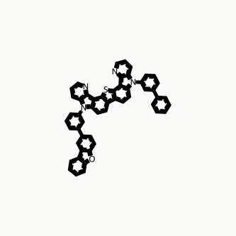 c1ccc(-c2cccc(-n3c4cccnc4c4c5sc6c(ccc7c6c6ncccc6n7-c6cccc(-c7ccc8oc9ccccc9c8c7)c6)c5ccc43)c2)cc1